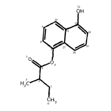 CCC(C)C(=O)Oc1cccc2c(O)cccc12